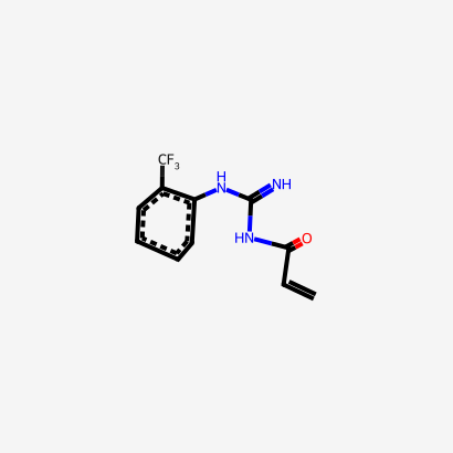 C=CC(=O)NC(=N)Nc1ccccc1C(F)(F)F